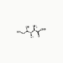 NC(C(=O)C=O)C(O)C(O)CO